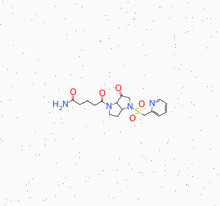 NC(=O)CCCC(=O)N1CCC2C1C(=O)CN2S(=O)(=O)Cc1ccccn1